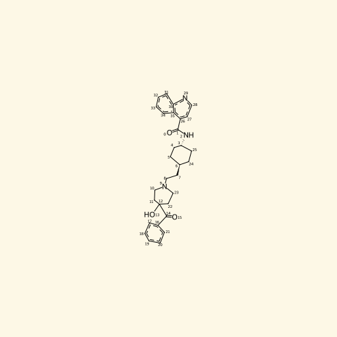 O=C(N[C@H]1CC[C@H](CCN2CCC(O)(C(=O)c3ccccc3)CC2)CC1)c1ccnc2ccccc12